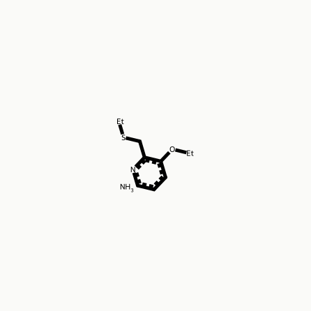 CCOc1cccnc1CSCC.N